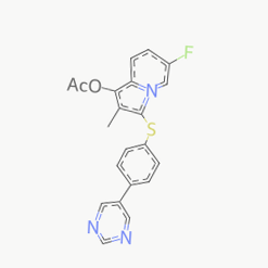 CC(=O)Oc1c(C)c(Sc2ccc(-c3cncnc3)cc2)n2cc(F)ccc12